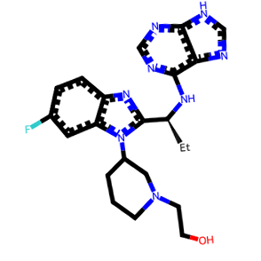 CC[C@H](Nc1ncnc2[nH]cnc12)c1nc2ccc(F)cc2n1C1CCCN(CCO)C1